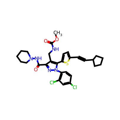 COC(=O)NCc1c(C(=O)NN2CCCCC2)nn(-c2ccc(Cl)cc2Cl)c1-c1ccc(C#CC2CCCC2)s1